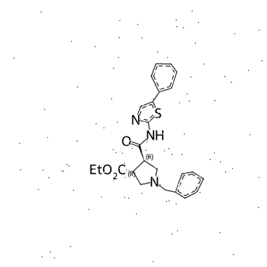 CCOC(=O)[C@H]1CN(Cc2ccccc2)C[C@@H]1C(=O)Nc1ncc(-c2ccccc2)s1